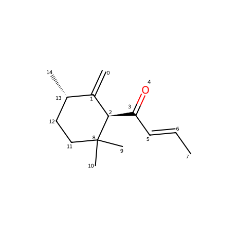 C=C1[C@@H](C(=O)/C=C/C)C(C)(C)CC[C@@H]1C